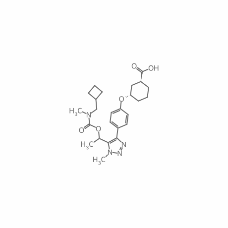 CC(OC(=O)N(C)CC1CCC1)c1c(-c2ccc(O[C@H]3CCC[C@H](C(=O)O)C3)cc2)nnn1C